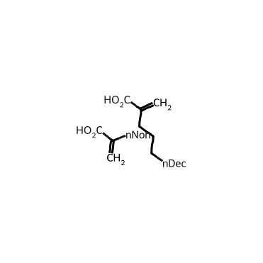 C=C(CCCCCCCCC)C(=O)O.C=C(CCCCCCCCCCCCC)C(=O)O